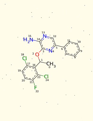 CC(Oc1nc(-c2c[c]ccc2)cnc1N)c1c(Cl)ccc(F)c1Cl